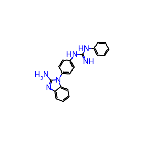 N=C(Nc1ccccc1)Nc1ccc(-n2c(N)nc3ccccc32)cc1